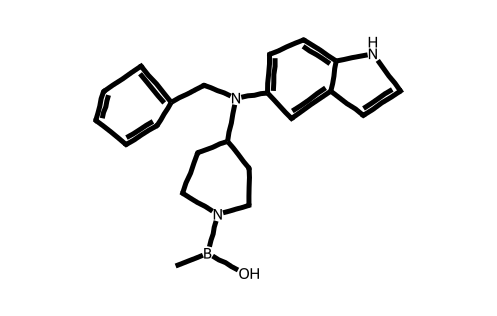 CB(O)N1CCC(N(Cc2ccccc2)c2ccc3[nH]ccc3c2)CC1